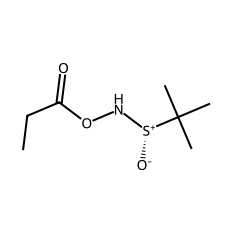 CCC(=O)ON[S@@+]([O-])C(C)(C)C